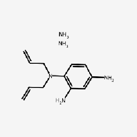 C=CCN(CC=C)c1ccc(N)cc1N.N.N